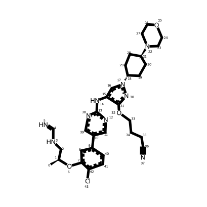 C[C@@H](CNC=N)Oc1cc(-c2cnc(Nc3cn([C@H]4CC[C@H](N5CCOCC5)CC4)nc3OCCCC#N)nc2)ccc1Cl